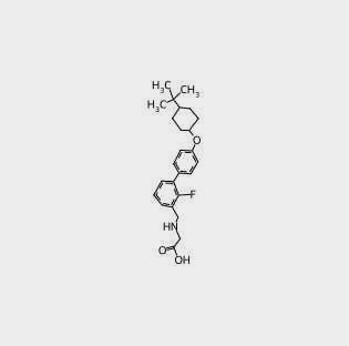 CC(C)(C)C1CCC(Oc2ccc(-c3cccc(CNCC(=O)O)c3F)cc2)CC1